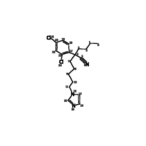 CCCCC(C#N)(CCCCCn1ccnc1)c1ccc(Cl)cc1Cl